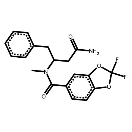 CN(C(=O)c1ccc2c(c1)OC(F)(F)O2)C(CC(N)=O)Cc1ccccc1